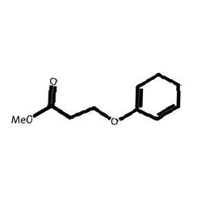 COC(=O)CCOC1=CC[CH]C=C1